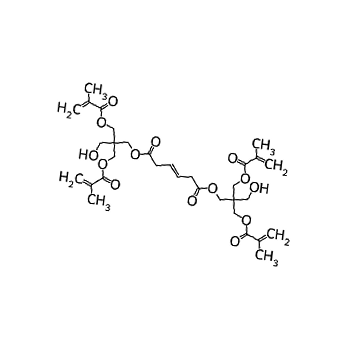 C=C(C)C(=O)OCC(CO)(COC(=O)C/C=C/CC(=O)OCC(CO)(COC(=O)C(=C)C)COC(=O)C(=C)C)COC(=O)C(=C)C